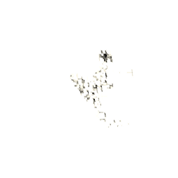 COc1ccc(COC(=O)NC(C(=O)N[C@H]2C(=O)N3C(C(=O)O)=C(CSc4nnnn4C)CSC23)c2cs/c(=N/C(=O)CCl)[nH]2)cc1